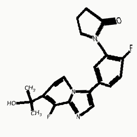 CC(C)(O)c1ccn2c(-c3ccc(F)c(N4CCCC4=O)c3)cnc2c1F